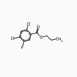 CCCOC(=O)c1cc(F)c(Cl)cc1Cl